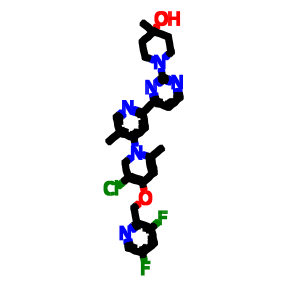 CC1=CC(OCc2ncc(F)cc2F)=C(Cl)CN1c1cc(-c2ccnc(N3CCC(C)(O)CC3)n2)ncc1C